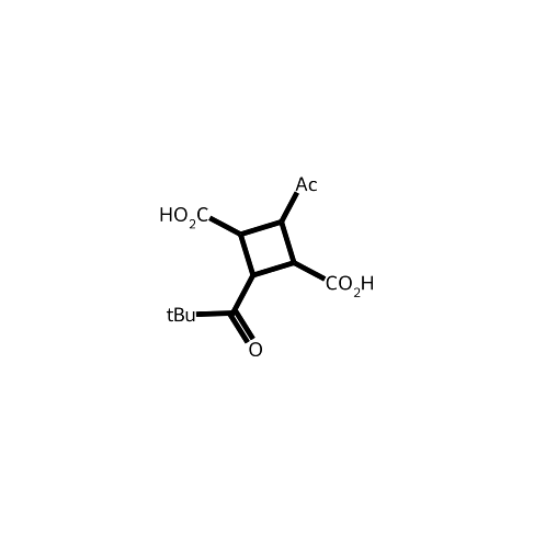 CC(=O)C1C(C(=O)O)C(C(=O)C(C)(C)C)C1C(=O)O